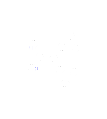 c1ccc(-c2ccc(-c3cc(-c4cc(-c5ccccn5)cc(-c5ccccn5)c4)cc(-c4ccc(-c5ccccc5)c(-c5ccccc5)c4)c3)cc2-c2ccccc2)cc1